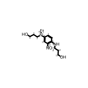 CCN(CCCO)c1ccc(NCCCO)c([N+](=O)[O-])c1